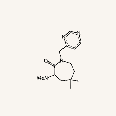 CNC1CC(C)(C)CCN(Cc2ccncn2)C1=O